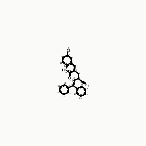 N#CC(Cc1cc2cc(Cl)ccc2[nH]c1=O)N=C(c1ccccc1)c1ccccc1